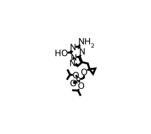 CC(C)OP(=O)(COC1(Cc2cnn3c(O)nc(N)nc23)CC1)OC(C)C